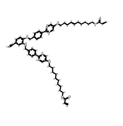 C=CC(=O)OCCCCCCCCCCOc1cnc(-c2ccc(COc3ccc(C#N)cc3OCc3ccc(-c4ncc(OCCCCCCCCCCOC(=O)C=C)cn4)cc3)cc2)nc1